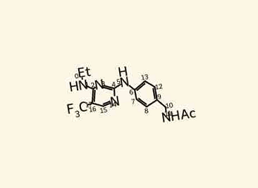 CCNc1nc(Nc2ccc(CNC(C)=O)cc2)ncc1C(F)(F)F